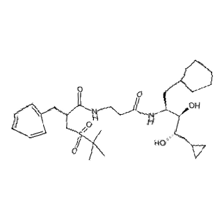 CC(C)(C)S(=O)(=O)CC(Cc1ccccc1)C(=O)NCCC(=O)N[C@@H](CC1CCCCC1)[C@@H](O)[C@@H](O)C1CC1